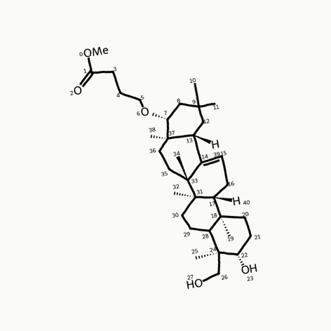 COC(=O)CCCO[C@@H]1CC(C)(C)C[C@@H]2C3=CC[C@@H]4[C@@]5(C)CC[C@H](O)[C@@](C)(CO)C5CC[C@@]4(C)[C@]3(C)CC[C@]21C